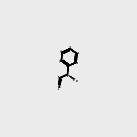 F[C@H]([C]=S)c1ccccc1